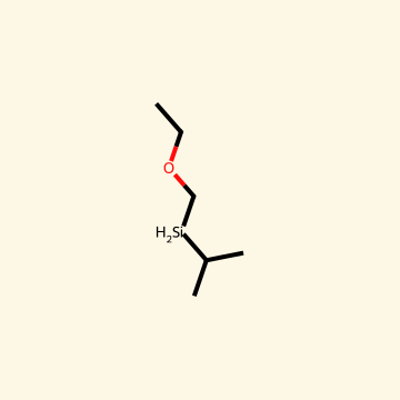 CCOC[SiH2]C(C)C